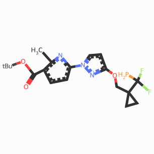 Cc1nc(-n2ccc(OCC3(C(F)(F)P)CC3)n2)ccc1C(=O)OC(C)(C)C